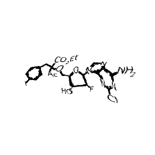 CCOC(=O)C(Cc1ccc(I)cc1)(OC[C@H]1O[C@@H](n2cnc3c(N)nc(Cl)nc32)[C@@H](F)[C@@H]1O)C(C)=O